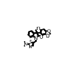 CN(C)c1ncc(CN2C(=O)C3(COc4cc5c(cc43)OCO5)c3ccccc32)s1